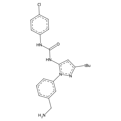 CC(C)(C)c1cc(NC(=O)Nc2ccc(Cl)cc2)n(-c2cccc(CN)c2)n1